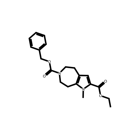 CCOC(=O)c1cc2c(n1C)CCN(C(=O)OCc1ccccc1)CC2